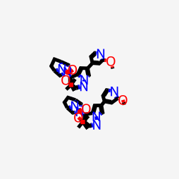 COc1cc(-c2cc3c(N4CC5CCC(C4)N5C(=O)OC(C)(C)C)ccnn3c2)ccn1.COc1cc(-c2cc3c(N4CC5CCC(C4)N5C(=O)OC(C)(C)C)ccnn3c2)ccn1